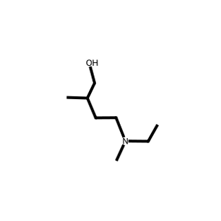 CCN(C)CCC(C)CO